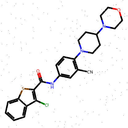 N#Cc1cc(NC(=O)c2sc3ccccc3c2Cl)ccc1N1CCC(N2CCOCC2)CC1